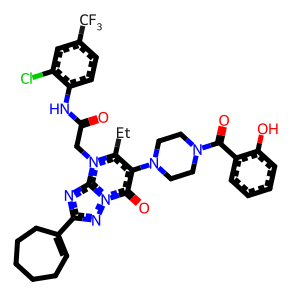 CCc1c(N2CCN(C(=O)c3ccccc3O)CC2)c(=O)n2nc(C3=CCCCCC3)nc2n1CC(=O)Nc1ccc(C(F)(F)F)cc1Cl